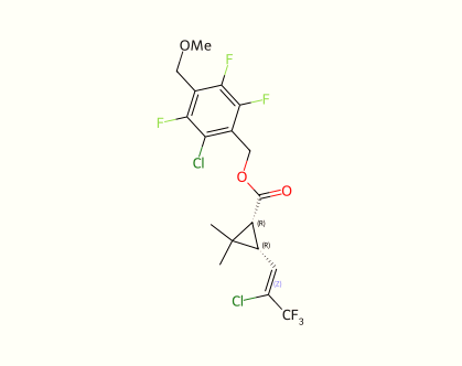 COCc1c(F)c(F)c(COC(=O)[C@@H]2[C@H](/C=C(\Cl)C(F)(F)F)C2(C)C)c(Cl)c1F